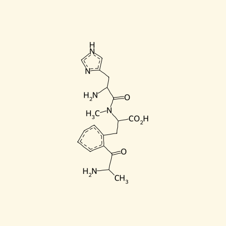 CC(N)C(=O)c1ccccc1CC(C(=O)O)N(C)C(=O)C(N)Cc1c[nH]cn1